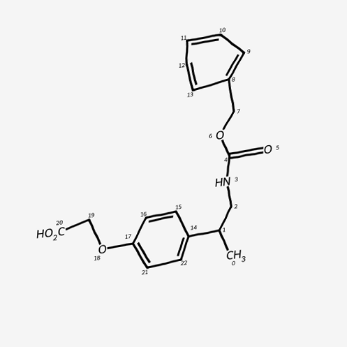 CC(CNC(=O)OCc1ccccc1)c1ccc(OCC(=O)O)cc1